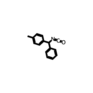 Cc1ccc(C(N=C=O)c2ccccc2)cc1